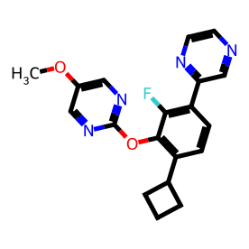 COc1cnc(Oc2c(C3CCC3)ccc(-c3cnccn3)c2F)nc1